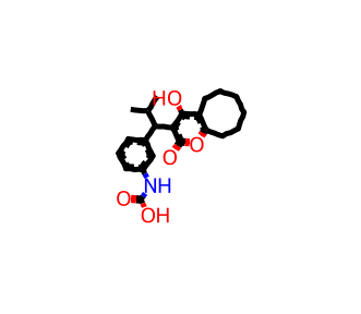 CC(C)C(c1cccc(NC(=O)O)c1)c1c(O)c2c(oc1=O)CCCCCC2